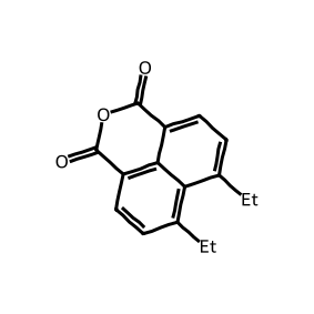 CCc1ccc2c3c(ccc(CC)c13)C(=O)OC2=O